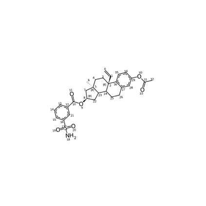 C=C[C@]12CC[C@]3(C)C[C@H](OC(=O)c4cccc(S(N)(=O)=O)c4)CC3C1CCc1cc(OC(C)=O)ccc12